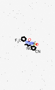 [C-]#[N+]C1=C(C)N(c2cccc(C(F)(F)F)c2)C(=O)N[C@@H]1c1ccc(C#N)cc1[S@@](C)(=N)=O